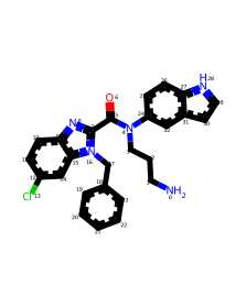 NCCCN(C(=O)c1nc2ccc(Cl)cc2n1Cc1ccccc1)c1ccc2[nH]ccc2c1